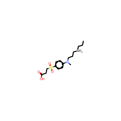 CCC[SiH2]CCCN(C)c1ccc(S(=O)(=O)CCC(=O)O)cc1